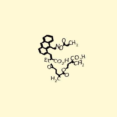 C=C(CCOC(=O)C(=C)CCC1CO1)C(=O)O.C=CC(=O)ON=Cc1c2ccccc2cc2cccc(C=C(CC)C(=O)O)c12